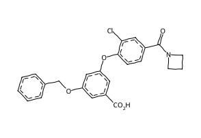 O=C(O)c1cc(OCc2ccccc2)cc(Oc2ccc(C(=O)N3CCC3)cc2Cl)c1